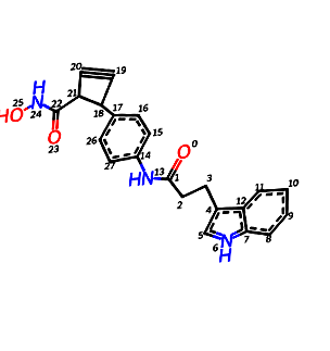 O=C(CCc1c[nH]c2ccccc12)Nc1ccc(C2C#CC2C(=O)NO)cc1